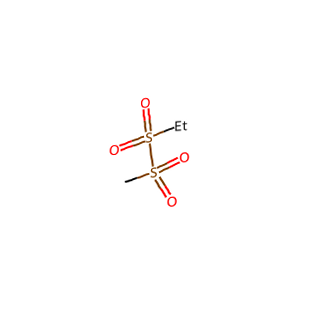 CCS(=O)(=O)S(C)(=O)=O